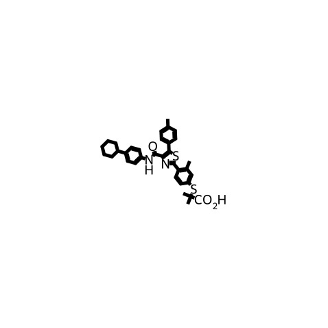 Cc1ccc(-c2sc(-c3ccc(SC(C)(C)C(=O)O)cc3C)nc2C(=O)Nc2ccc(C3CCCCC3)cc2)cc1